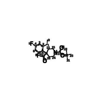 CCc1cc(F)cc(F)c1C1(C(C)=O)CCN(C(=O)OC(C)(C)C)CC1